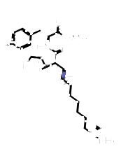 CCCCCCCS(=O)(=O)CCCCCC/C=C/[C@H](C(=O)N[C@@H](Cc1ccc(O)cc1)C(=O)OC)[C@@](O)(CCF)C(=O)O